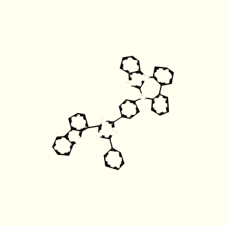 c1ccc(-c2nc(-c3ccc(N4c5ccccc5-c5ccccc5-n5c4nc4ccccc45)cc3)nc(-c3cccc4c3oc3ccccc34)n2)cc1